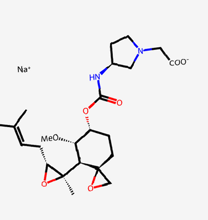 CO[C@@H]1[C@H](OC(=O)N[C@H]2CCN(CC(=O)[O-])C2)CC[C@]2(CO2)[C@H]1[C@@]1(C)O[C@@H]1CC=C(C)C.[Na+]